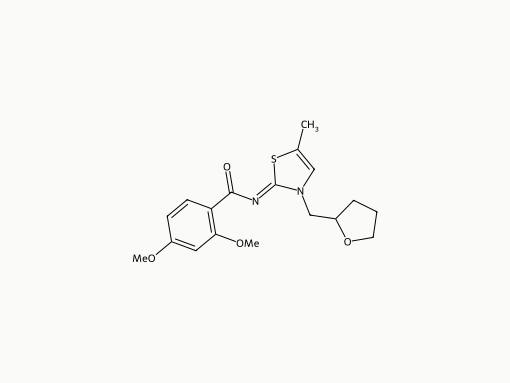 COc1ccc(C(=O)N=c2sc(C)cn2CC2CCCO2)c(OC)c1